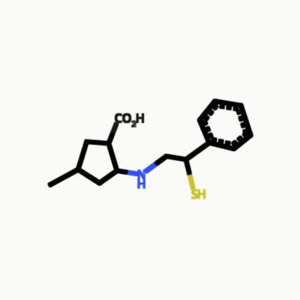 CC1CC(NCC(S)c2ccccc2)C(C(=O)O)C1